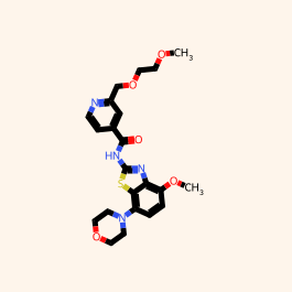 COCCOCc1cc(C(=O)Nc2nc3c(OC)ccc(N4CCOCC4)c3s2)ccn1